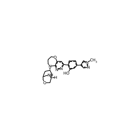 Cn1cc(-c2ccc(-c3cc4c(nn3)N([C@@H]3CC5COC[C@@H](C3)N5)CCCO4)c(O)c2)cn1